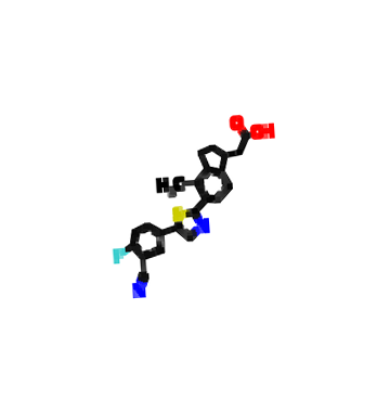 Cc1c(-c2ncc(-c3ccc(F)c(C#N)c3)s2)ccc2c1CCC2CC(=O)O